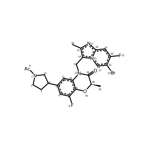 CC(=O)N1CCC(c2cc(F)c3c(c2)N(Cc2c(C)nc4cc(F)c(Br)cn24)C(=O)[C@@H](C)O3)C1